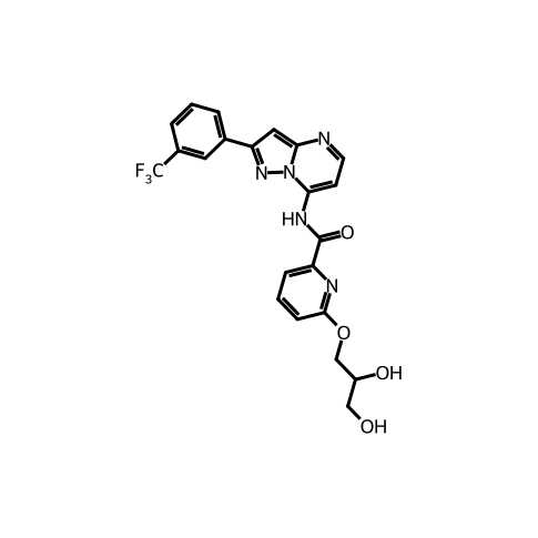 O=C(Nc1ccnc2cc(-c3cccc(C(F)(F)F)c3)nn12)c1cccc(OCC(O)CO)n1